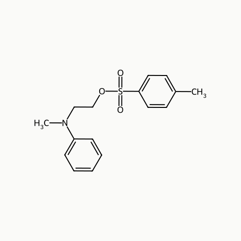 Cc1ccc(S(=O)(=O)OCCN(C)c2ccccc2)cc1